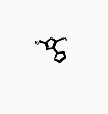 Nc1nc(-c2cccs2)c(N)o1